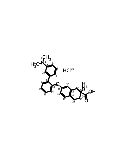 CN(C)c1cccc(-c2ccccc2Oc2ccc3c(c2)CC(N)(C(=O)O)CC3)c1.Cl